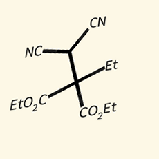 CCOC(=O)C(CC)(C(=O)OCC)C(C#N)C#N